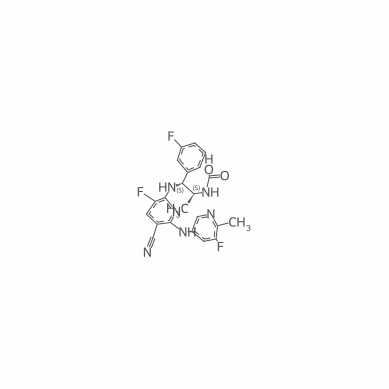 Cc1ncc(Nc2nc(N[C@@H](c3cccc(F)c3)[C@H](C)NC(=O)O)c(F)cc2C#N)cc1F